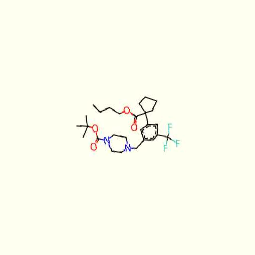 CCCCOC(=O)C1(c2cc(CN3CCN(C(=O)OC(C)(C)C)CC3)cc(C(F)(F)F)c2)CCCC1